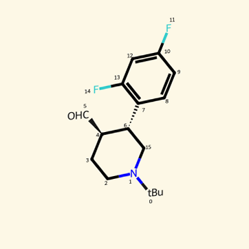 CC(C)(C)N1CC[C@@H](C=O)[C@H](c2ccc(F)cc2F)C1